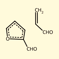 C=CC=O.O=Cc1ccco1